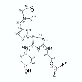 OC1CCC(Nc2nc(NCCOC(F)F)ncc2-c2ccc(CN3CCOCC3)s2)CC1